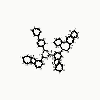 c1ccc(-c2ccc(C3N=C(c4cccc5c4sc4ccccc45)N=C(c4cc(C5CCc6cc7ccccc7cc6-c6ccccc65)cc5c4oc4ccccc45)N3)cc2)cc1